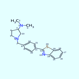 CN(C)C1CCN(Cc2ccc(-c3nc4ccccc4s3)cc2)C1